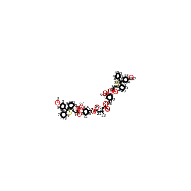 COc1ccc(C(SCCC(=O)Oc2ccc(COC(=O)CC(C)CC(=O)OCc3ccc(OC(=O)CCSC(c4ccccc4)(c4ccccc4)c4ccc(OC)cc4)c(OC)c3)cc2OC)(c2ccccc2)c2ccccc2)cc1